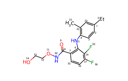 CCc1ccc(Nc2c(C(=O)NOCCO)ccc(F)c2F)c(C)c1